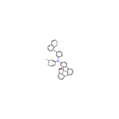 CC1C=C(N(c2cccc(-c3cccc4c3CCC=C4)c2)c2ccc3c(c2)C24c5ccccc5-c5cccc(c52)-c2cccc-3c24)C=CC1